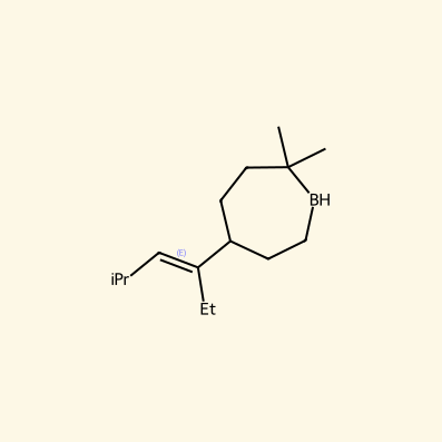 CC/C(=C\C(C)C)C1CCBC(C)(C)CC1